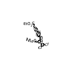 CCOC(=O)CCN1CCN(c2ncc(Oc3cc(COC)cc(-c4cc(Cl)cc(Cl)c4)n3)cn2)CC1